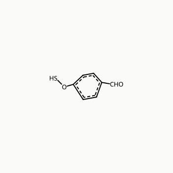 O=Cc1ccc(OS)cc1